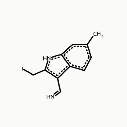 Cc1ccc2c(C=N)c(CI)[nH]c2c1